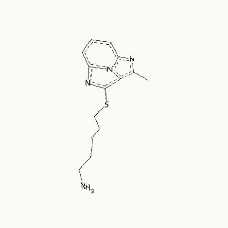 Cc1nc2cccc3nc(SCCCCCN)c1n23